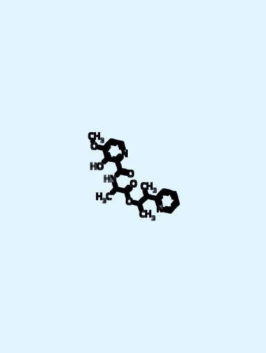 COc1ccnc(C(=O)NC(C)C(=O)OC(C)C(C)c2ccccn2)c1O